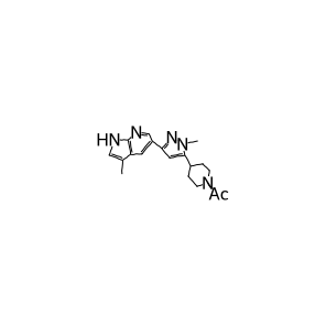 CC(=O)N1CCC(c2cc(-c3cnc4[nH]cc(C)c4c3)nn2C)CC1